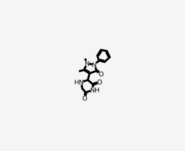 Cc1c(C2NCC(=O)NC2=O)c(=O)n(-c2ccccc2)n1C